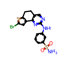 NS(=O)(=O)c1cccc(Nc2ncc3c(n2)-c2cc(Br)sc2CC3)c1